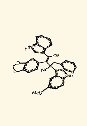 COc1ccc2[nH]cc(C(C#N)(Cc3cccnc3)/C(=C(\C#N)c3c[nH]c4ccccc34)c3ccc4c(c3)OCO4)c2c1